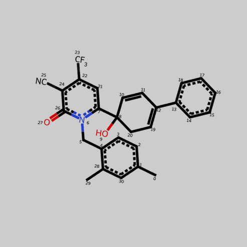 Cc1ccc(Cn2c(C3(O)C=CC(c4ccccc4)=CC3)cc(C(F)(F)F)c(C#N)c2=O)c(C)c1